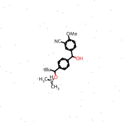 COc1ccc(C(O)c2ccc(C(O[SiH](C)C)C(C)(C)C)cc2)cc1C#N